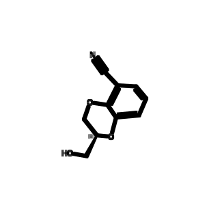 N#Cc1cccc2c1OC[C@H](CO)O2